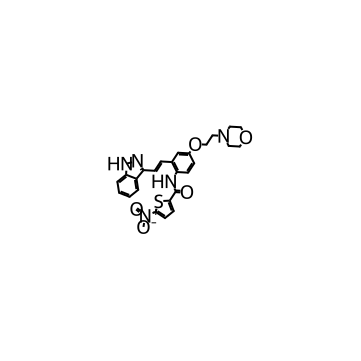 O=C(Nc1ccc(OCCN2CCOCC2)cc1C=Cc1n[nH]c2ccccc12)c1ccc([N+](=O)[O-])s1